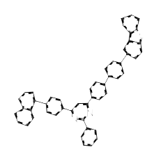 c1ccc(-c2nc(-c3ccc(-c4ccc(-c5ccc6oc7ccccc7c6c5)cc4)cc3)cc(-c3ccc(-c4cccc5ccccc45)cc3)n2)cc1